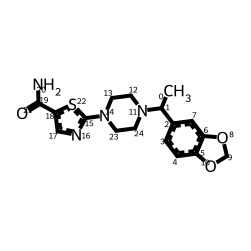 CC(c1ccc2c(c1)OCO2)N1CCN(c2ncc(C(N)=O)s2)CC1